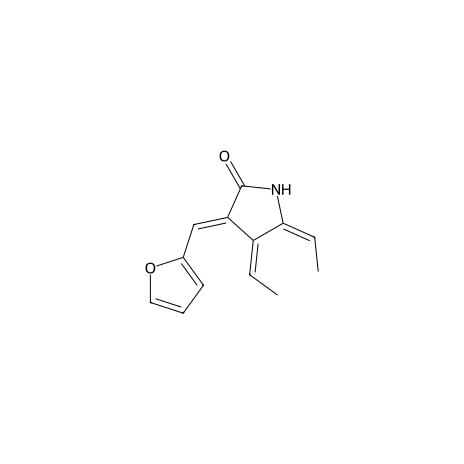 C/C=C1C(=C/C)\NC(=O)C\1=C\c1ccco1